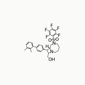 Cc1cccc(-c2ccc([C@@H]3C(CO)N4CCCCN(S(=O)(=O)c5c(F)c(F)c(F)c(F)c5F)C[C@@H]34)cc2)c1C